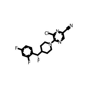 N#Cc1cnc(N2CCC([C@H](F)c3ccc(F)cc3F)CC2)c(Cl)n1